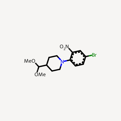 COC(OC)C1CCN(c2ccc(Br)cc2[N+](=O)[O-])CC1